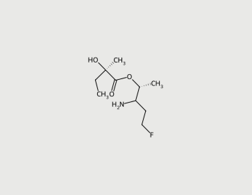 CC[C@@](C)(O)C(=O)O[C@H](C)C(N)CCF